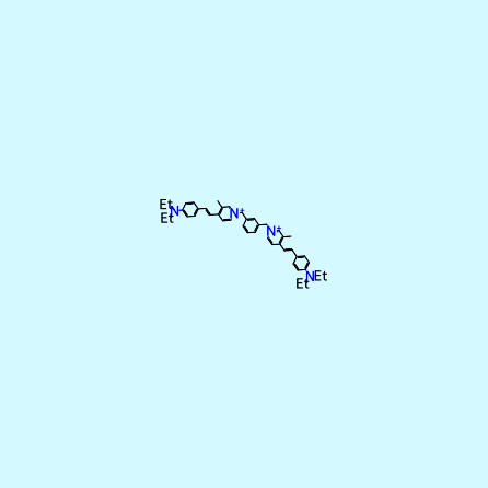 CCN(CC)c1ccc(/C=C/c2cc[n+](Cc3cccc(C[n+]4ccc(/C=C/c5ccc(N(CC)CC)cc5)c(C)c4)c3)cc2C)cc1